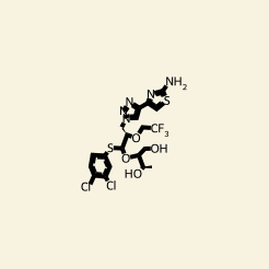 C[C@@H](O)C(CO)OC(Sc1ccc(Cl)c(Cl)c1)[C@H](Cn1cc(-c2csc(N)n2)nn1)OCC(F)(F)F